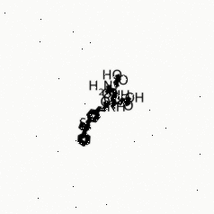 NC(=O)[C@H](CCC(=O)O)NC(=O)[C@@H](CCC(=O)O)NC(=O)CCc1ccc(-c2cc(-c3ccccc3)cs2)cc1